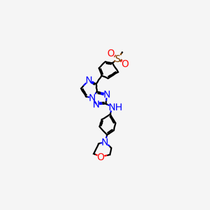 CS(=O)(=O)c1ccc(-c2nccn3nc(Nc4ccc(N5CCOCC5)cc4)nc23)cc1